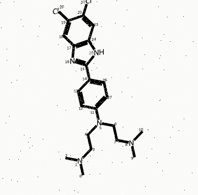 CN(C)CCN(CCN(C)C)c1ccc(-c2nc3cc(Cl)c(Cl)cc3[nH]2)cc1